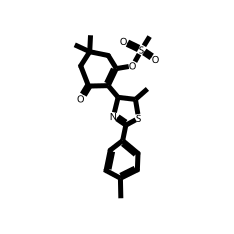 Cc1ccc(C2=NC(C3=C(OS(C)(=O)=O)CC(C)(C)CC3=O)C(C)S2)cc1